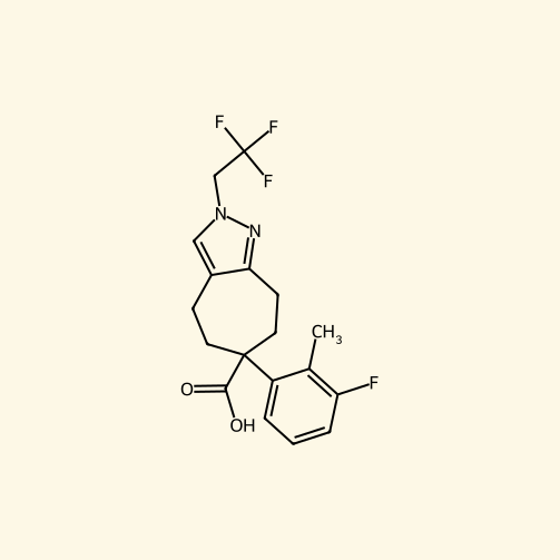 Cc1c(F)cccc1C1(C(=O)O)CCc2cn(CC(F)(F)F)nc2CC1